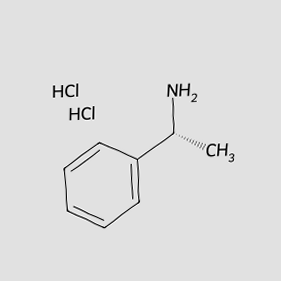 C[C@@H](N)c1ccccc1.Cl.Cl